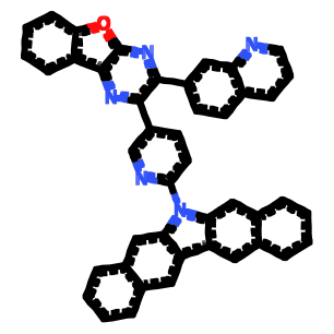 c1ccc2cc3c(cc2c1)c1cc2ccccc2cc1n3-c1ccc(-c2nc3c(nc2-c2ccc4cccnc4c2)oc2ccccc23)cn1